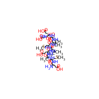 CSCC[C@H](NC(=O)[C@H](CC(C)C)NC(=O)[C@H](CCC(=O)O)NC(=O)[C@H](C)NC(=O)[C@H](CCSC)NC(=O)[C@@H](N)CCC(=O)O)C(=O)N[C@H](C(=O)N[C@@H](CO)C(=O)N[C@@H](CCC(=O)O)C(=O)NCC(=O)O)C(C)C